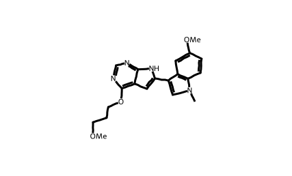 COCCCOc1ncnc2[nH]c(-c3cn(C)c4ccc(OC)cc34)cc12